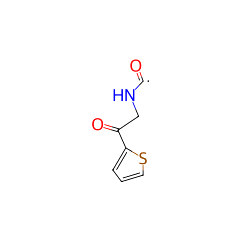 O=[C]NCC(=O)c1cccs1